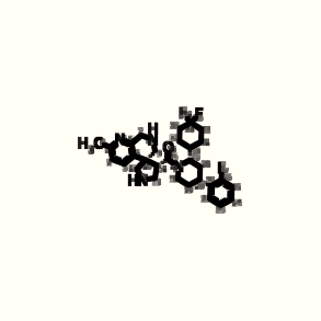 Cc1ccc2c(n1)CNC[C@]21CNC[C@H]1C(=O)N1CC[C@@H](c2ccccc2F)C[C@H]1C1CCC(F)(F)CC1